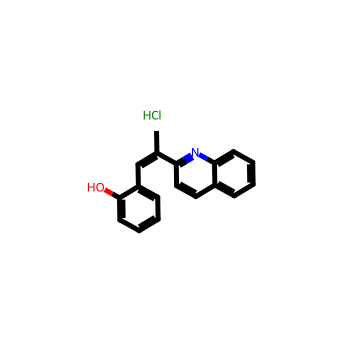 C/C(=C/c1ccccc1O)c1ccc2ccccc2n1.Cl